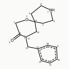 O=C1COC2(CCNCC2)CN1Cc1ccccc1